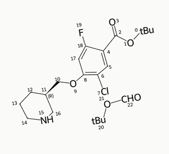 CC(C)(C)OC(=O)c1cc(Cl)c(OC[C@@H]2CCCNC2)cc1F.CC(C)(C)OC=O